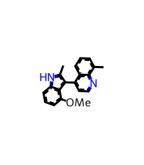 COc1cccc2[nH]c(C)c(-c3ccnc4c(C)cccc34)c12